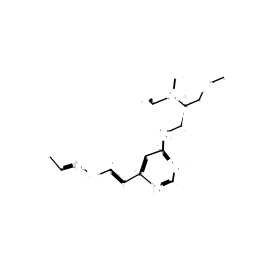 C/C=N/O/C=C/c1cc(NC[C@H](COC)N(C)C=O)ncn1